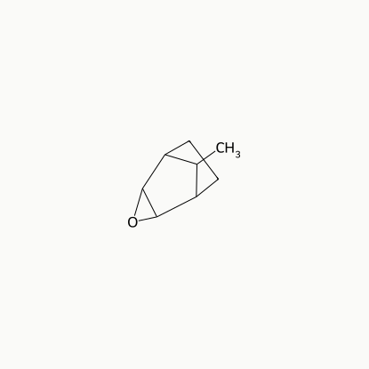 CC1C2CCC1C1OC21